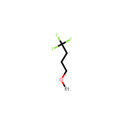 CCOCC[CH]C(F)(F)F